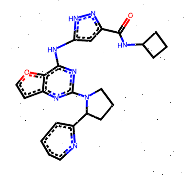 O=C(NC1CCC1)c1cc(Nc2nc(N3CCCC3c3ccccn3)nc3ccoc23)[nH]n1